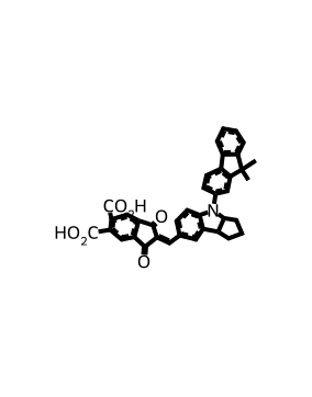 CC1(C)c2ccccc2-c2ccc(N3c4ccc(C=C5C(=O)c6cc(C(=O)O)c(C(=O)O)cc6C5=O)cc4C4CCCC43)cc21